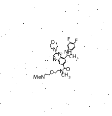 CNCCOCCN(C)C(=O)c1cc(C(C)Nc2ccc(F)c(F)c2)c2nc(N3CCOCC3)cnc2c1